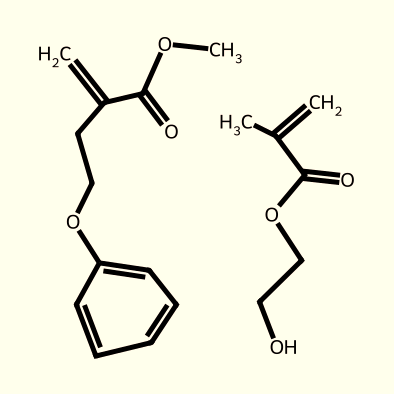 C=C(C)C(=O)OCCO.C=C(CCOc1ccccc1)C(=O)OC